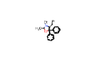 CCN1[C@H](C)OC(c2ccccc2)(c2ccccc2)[C@@H]1CC(C)C